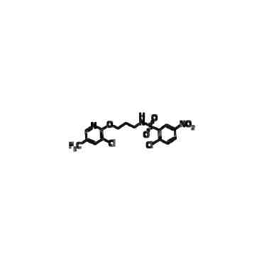 O=[N+]([O-])c1ccc(Cl)c(S(=O)(=O)NCCCOc2ncc(C(F)(F)F)cc2Cl)c1